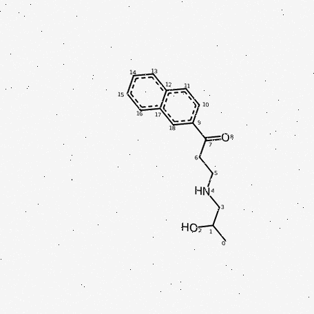 CC(O)CNCCC(=O)c1ccc2ccccc2c1